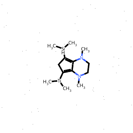 CN1CCN(C)C2=[C]([Ti]([CH3])[CH3])CC([SiH](C)C)=C21